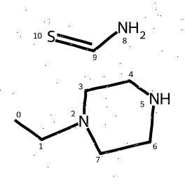 CCN1CCNCC1.NC=S